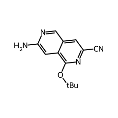 CC(C)(C)Oc1nc(C#N)cc2cnc(N)cc12